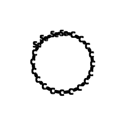 C1CCCCCCCC[Se][Se][Se][Se]CCCCCCC1